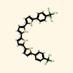 FC(F)(F)c1ccc(-c2ccc(-c3ccc(-c4ccc(-c5ccc(-c6ccc(C(F)(F)F)cc6)s5)s4)s3)s2)cc1